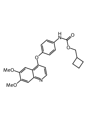 COc1cc2nccc(Oc3ccc(NC(=O)OCC4CCC4)cc3)c2cc1OC